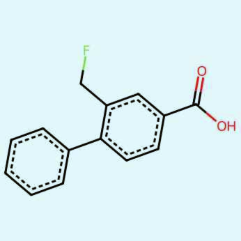 O=C(O)c1ccc(-c2ccccc2)c(CF)c1